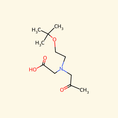 CC(=O)CN(CCOC(C)(C)C)CC(=O)O